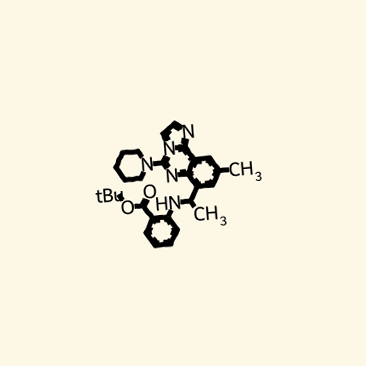 Cc1cc(C(C)Nc2ccccc2C(=O)OC(C)(C)C)c2nc(N3CCCCC3)n3ccnc3c2c1